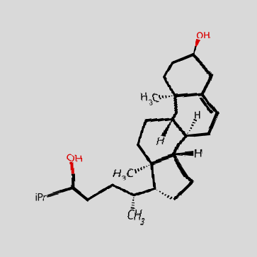 CC(C)C(O)CC[C@@H](C)[C@H]1CC[C@H]2[C@@H]3CC=C4C[C@H](O)CC[C@]4(C)[C@H]3CC[C@]12C